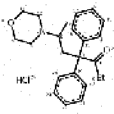 CCC(=O)C(CC(C)N1CCOCC1)(c1ccccc1)c1ccccc1.Cl